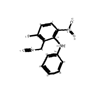 [C-]#[N+]Cc1c(F)ccc([N+](=O)[O-])c1Nc1ccccc1